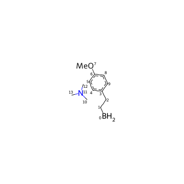 BCCc1ccc(OC)cc1.CN(C)C